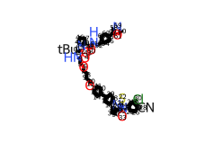 CC(C)(C)C(NC(=O)COCCCCOc1ccc(-c2ccc(N3C(=S)N(c4ccc(C#N)c(Cl)c4)C(=O)C34CCC4)cc2)cc1)C(=O)N1CCC[C@H]1C(=O)NCc1ccc(-c2cnco2)cc1